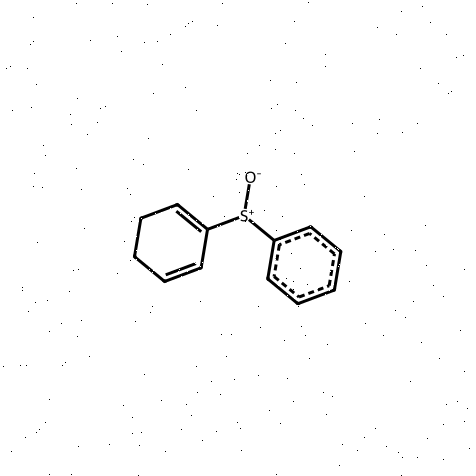 [O-][S+](C1=CCCC=C1)c1ccccc1